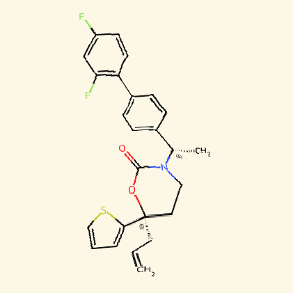 C=CC[C@@]1(c2cccs2)CCN([C@@H](C)c2ccc(-c3ccc(F)cc3F)cc2)C(=O)O1